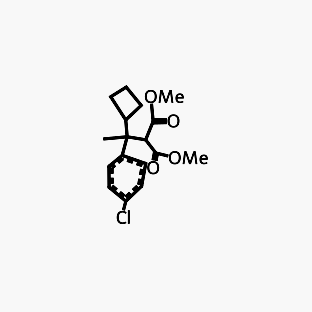 COC(=O)C(C(=O)OC)C(C)(c1ccc(Cl)cc1)C1CCC1